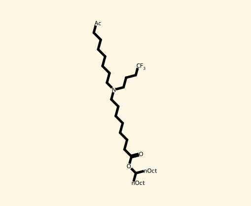 CCCCCCCCC(CCCCCCCC)OC(=O)CCCCCCCN(CCCCCCCC(C)=O)CCCC(F)(F)F